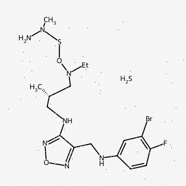 CCN(C[C@@H](C)CNc1nonc1CNc1ccc(F)c(Br)c1)OSN(C)N.S